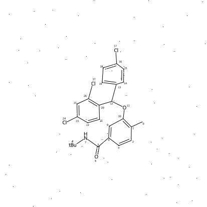 Cc1ccc(C(=O)NC(C)(C)C)cc1OC(c1ccc(Cl)cc1)c1ccc(Cl)cc1Cl